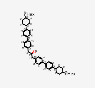 CCCCCCC1CCC(c2ccc(-c3ccc(CC(=O)Cc4ccc(-c5ccc([C@H]6CC[C@H](CCCCCC)CC6)cc5)cc4)cc3)cc2)CC1